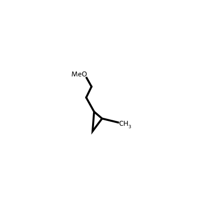 COCCC1CC1C